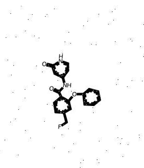 O=C(Nc1cc[nH]c(=O)c1)c1ccc(CF)cc1Oc1ccccc1